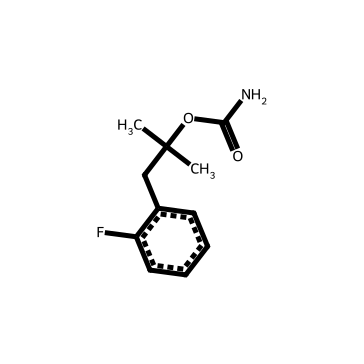 CC(C)(Cc1ccccc1F)OC(N)=O